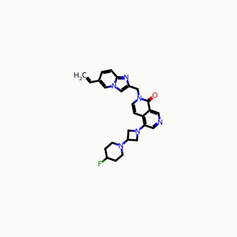 C=Cc1ccc2nc(Cn3ccc4c(N5CC(N6CCC(F)CC6)C5)cncc4c3=O)cn2c1